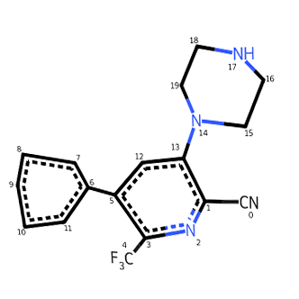 N#Cc1nc(C(F)(F)F)c(-c2ccccc2)cc1N1CCNCC1